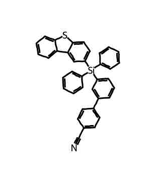 N#Cc1ccc(-c2cccc([Si](c3ccccc3)(c3ccccc3)c3ccc4sc5ccccc5c4c3)c2)cc1